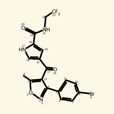 Cc1onc(-c2ccc(Br)cc2)c1C(=O)c1c[nH]c(C(=O)NCC(F)(F)F)c1